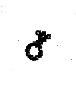 Clc1nc(Cl)nc(ON=C2CCCCCCCCCCCCCCC2)n1